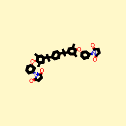 Cc1cc(C(C)(C)c2ccc(C(C)(C)c3cc(C)c(Oc4cccc(N5C(=O)C=CC5=O)c4)c(C)c3)cc2)cc(C)c1Oc1cccc(N2C(=O)C=CC2=O)c1